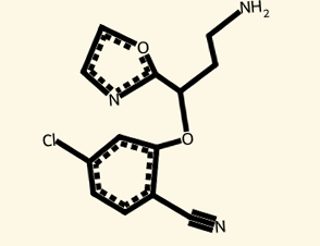 N#Cc1ccc(Cl)cc1OC(CCN)c1ncco1